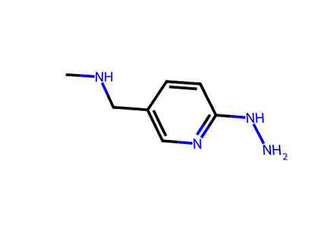 CNCc1ccc(NN)nc1